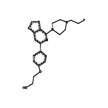 OCCOc1ccc(-c2cc3sccc3c(N3CCN(CCF)CC3)n2)cc1